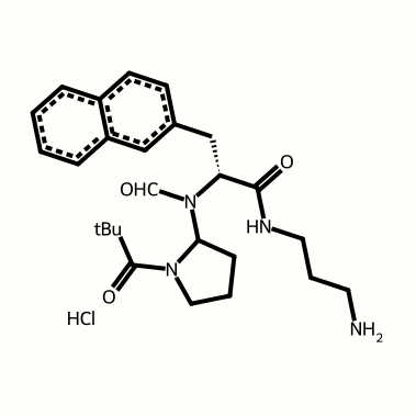 CC(C)(C)C(=O)N1CCCC1N(C=O)[C@H](Cc1ccc2ccccc2c1)C(=O)NCCCN.Cl